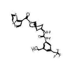 O=C(Nc1cc(CO)cc(C(F)(F)F)c1)NC1CC2(C1)CN(C(=O)c1cnn3ccsc13)C2